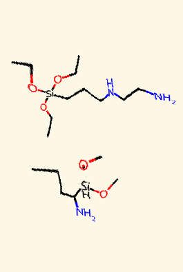 CCCC(N)[SiH](OC)OC.CCO[Si](CCCNCCN)(OCC)OCC